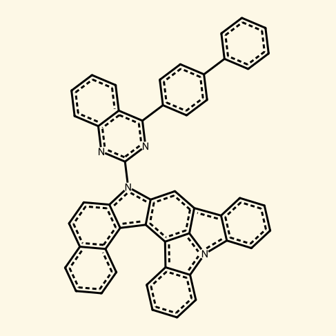 c1ccc(-c2ccc(-c3nc(-n4c5ccc6ccccc6c5c5c6c7ccccc7n7c8ccccc8c(cc54)c67)nc4ccccc34)cc2)cc1